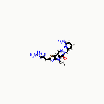 Cn1c2nc(C/C(N)=C/NN)sc2c2cnn(Cc3cccc(N)n3)c(=O)c21